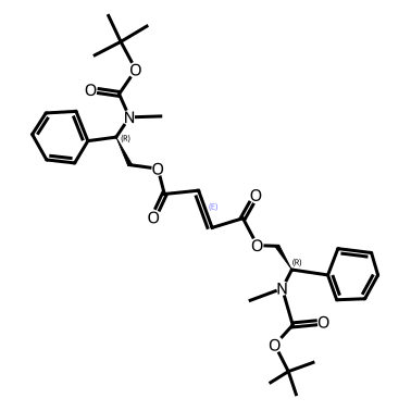 CN(C(=O)OC(C)(C)C)[C@@H](COC(=O)/C=C/C(=O)OC[C@@H](c1ccccc1)N(C)C(=O)OC(C)(C)C)c1ccccc1